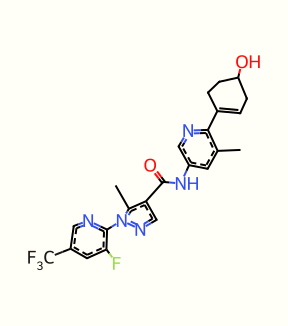 Cc1cc(NC(=O)c2cnn(-c3ncc(C(F)(F)F)cc3F)c2C)cnc1C1=CCC(O)CC1